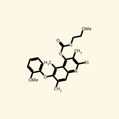 CCc1nc2cc(C)c(Oc3ccccc3OC)c(C)c2c(OC(=O)OCCOC)c1C